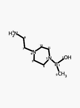 CB(O)N1CCN(CCN)CC1